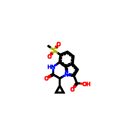 CS(=O)(=O)c1ccc2cc(C(=O)O)n3c2c1NC(=O)C3C1CC1